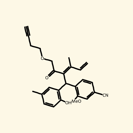 C#CCCOCC(=O)/C(=C(\C)C=C)C(c1cc(C)ccc1O)c1ccc(C#N)cc1OC